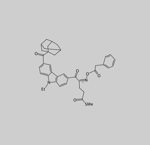 CCn1c2ccc(C(=O)/C(CCC(=O)SC)=N\OC(=O)Cc3ccccc3)cc2c2cc(C(=O)C34CC5CC(CC(C5)C3)C4)ccc21